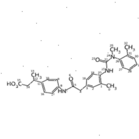 Cc1cc(CC(=O)Nc2ccc(C(C)CC(=O)O)cc2)ccc1NC(=O)N(C)c1ccccc1C